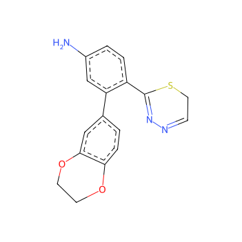 Nc1ccc(C2=NN=CCS2)c(-c2ccc3c(c2)OCCO3)c1